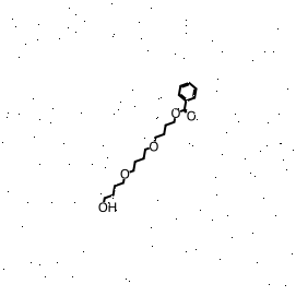 O=C(OCCCCOCCCCOCCCCO)c1ccccc1